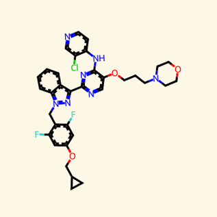 Fc1cc(OCC2CC2)cc(F)c1Cn1nc(-c2ncc(OCCCN3CCOCC3)c(Nc3ccncc3Cl)n2)c2ccccc21